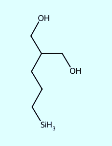 OCC(CO)CCC[SiH3]